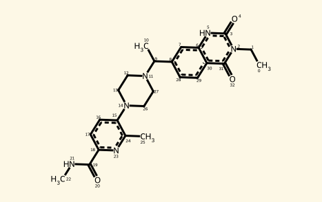 CCn1c(=O)[nH]c2cc(C(C)N3CCN(c4ccc(C(=O)NC)nc4C)CC3)ccc2c1=O